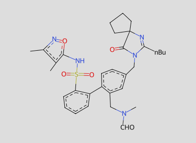 CCCCC1=NC2(CCCC2)C(=O)N1Cc1ccc(-c2ccccc2S(=O)(=O)Nc2onc(C)c2C)c(CN(C)C=O)c1